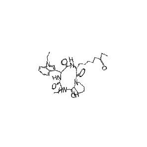 CCC(=O)CCCCC[C@@H]1NC(=O)C(c2cn(CC)c3ccccc23)NC(=O)C(CC)NC(=O)[C@@H]2CCCCN2C1=O